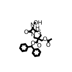 CC(=O)OCC1(C(=O)OC(c2ccccc2)c2ccccc2)CS[C@@H]2C(=NO)C(=O)N2C1